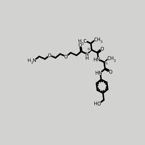 CC(C)[C@H](NC(=O)CCOCCOCCN)C(=O)N[C@@H](C)C(=O)Nc1ccc(CO)cc1